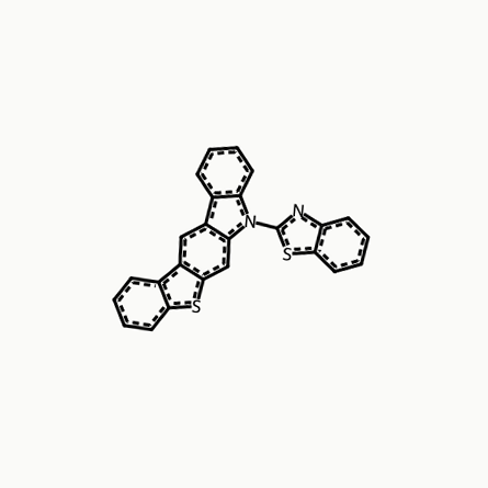 c1ccc2sc(-n3c4ccccc4c4cc5c(cc43)sc3ccccc35)nc2c1